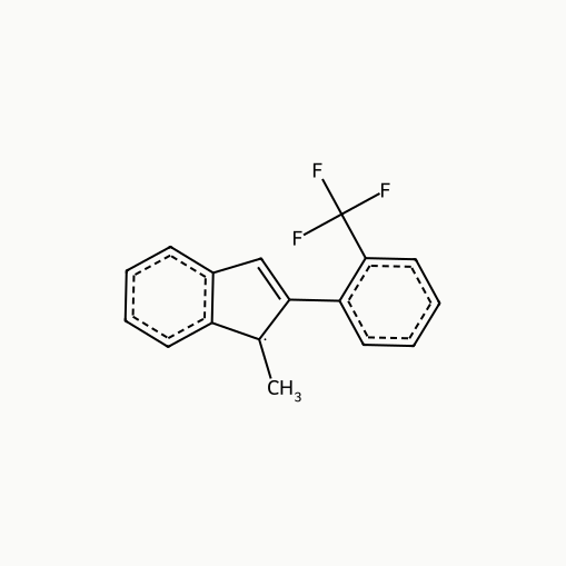 C[C]1C(c2ccccc2C(F)(F)F)=Cc2ccccc21